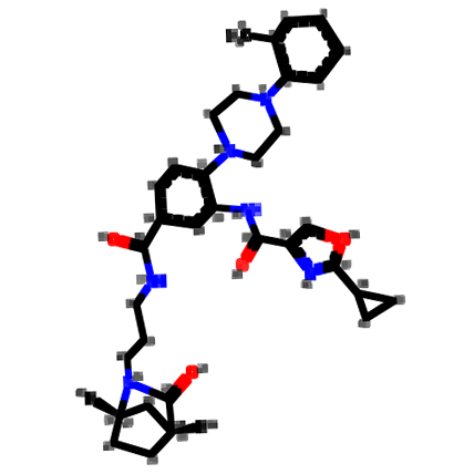 Cc1ccccc1N1CCN(c2ccc(C(=O)NCCCN3C(=O)[C@@H]4CC[C@H]3C4)cc2NC(=O)c2coc(C3CC3)n2)CC1